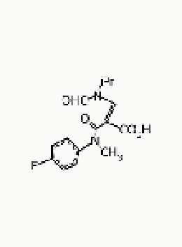 CC(C)N(C=O)/C=C(/C(=O)O)C(=O)N(C)c1ccc(F)cc1